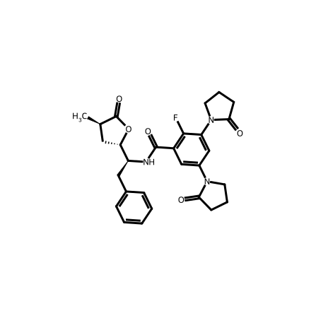 C[C@@H]1C[C@@H]([C@H](Cc2ccccc2)NC(=O)c2cc(N3CCCC3=O)cc(N3CCCC3=O)c2F)OC1=O